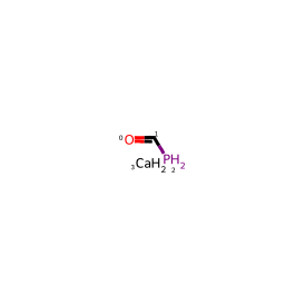 O=CP.[CaH2]